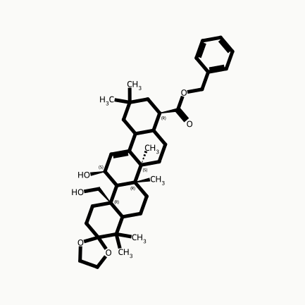 CC1(C)CC2C3=C[C@H](O)C4[C@@]5(CO)CCC6(OCCO6)C(C)(C)C5CC[C@@]4(C)[C@]3(C)CCC2[C@H](C(=O)OCc2ccccc2)C1